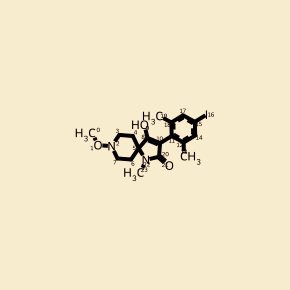 CON1CCC2(CC1)C(O)=C(c1c(C)cc(I)cc1C)C(=O)N2C